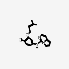 CC(C)=CCOc1cc(Nc2nccc3cccn23)ccc1Cl